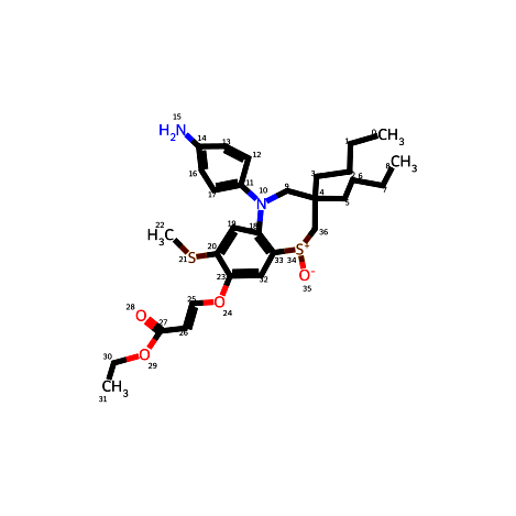 CCCCC1(CCCC)CN(c2ccc(N)cc2)c2cc(SC)c(O/C=C/C(=O)OCC)cc2[S+]([O-])C1